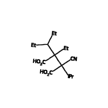 CCC(CC)C(CC)(C(=O)O)C(C#N)(C(=O)O)C(C)C